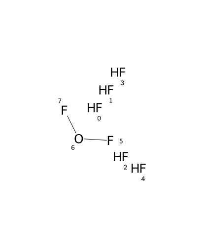 F.F.F.F.F.FOF